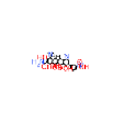 CN(C)c1cc(-c2cccc([N+](=O)O)c2)c(O)c2c1C[C@H]1C[C@H]3[C@H](N(C)C)C(O)=C(C(N)=O)C(=O)[C@@]3(O)C(O)=C1C2=O